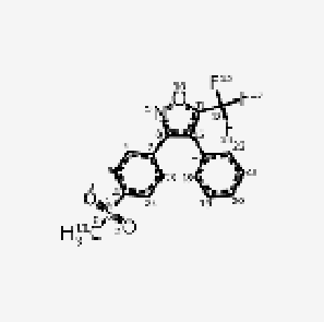 [11CH3]S(=O)(=O)c1ccc(-c2noc(C(F)(F)F)c2-c2ccccc2)cc1